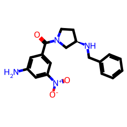 Nc1cc(C(=O)N2CC[C@@H](NCc3ccccc3)C2)cc([N+](=O)[O-])c1